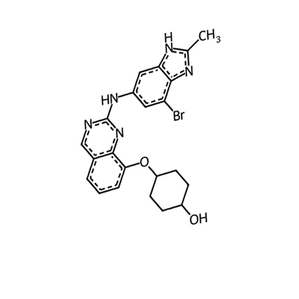 Cc1nc2c(Br)cc(Nc3ncc4cccc(OC5CCC(O)CC5)c4n3)cc2[nH]1